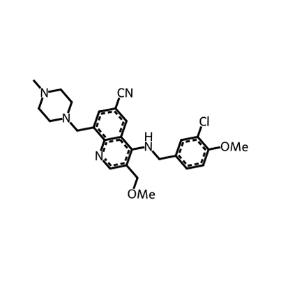 COCc1cnc2c(CN3CCN(C)CC3)cc(C#N)cc2c1NCc1ccc(OC)c(Cl)c1